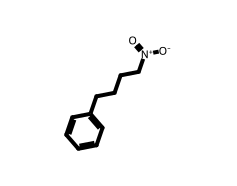 O=[N+]([O-])CCCCc1ccccc1